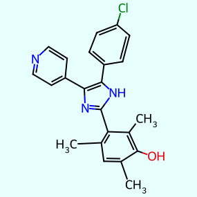 Cc1cc(C)c(-c2nc(-c3ccncc3)c(-c3ccc(Cl)cc3)[nH]2)c(C)c1O